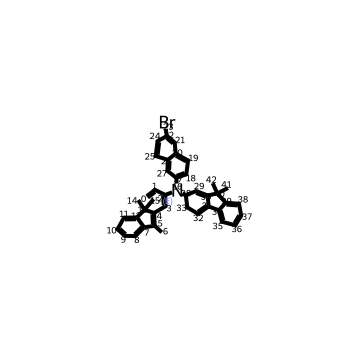 C=C/C(=C\C1=C(C)c2ccccc2C1(C)C)N(c1ccc2cc(Br)ccc2c1)C1C=C2C(=CC1)c1ccccc1C2(C)C